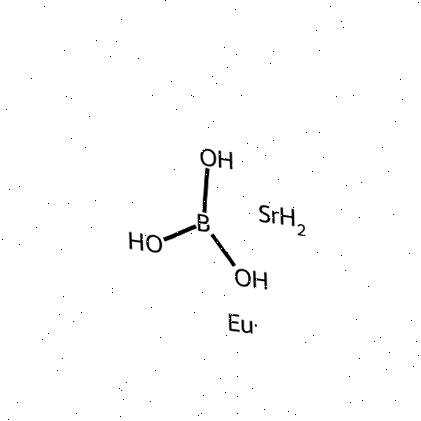 OB(O)O.[Eu].[SrH2]